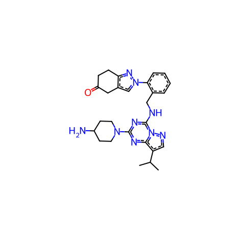 CC(C)c1cnn2c(NCc3ccccc3-n3cc4c(n3)CCC(=O)C4)nc(N3CCC(N)CC3)nc12